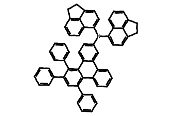 c1ccc(-c2cc(-c3ccccc3)c3c4ccccc4c4cc(N(c5ccc6c7c(cccc57)CC6)c5ccc6c7c(cccc57)CC6)ccc4c3c2-c2ccccc2)cc1